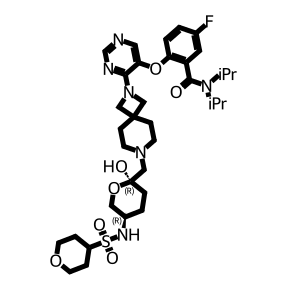 CC(C)N(C(=O)c1cc(F)ccc1Oc1cncnc1N1CC2(CCN(C[C@@]3(O)CC[C@@H](NS(=O)(=O)C4CCOCC4)CO3)CC2)C1)C(C)C